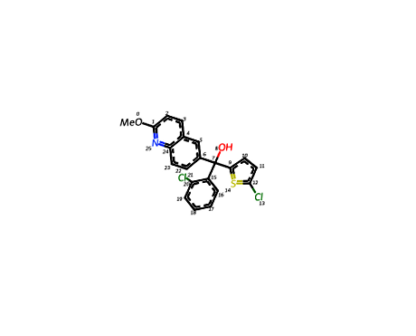 COc1ccc2cc(C(O)(c3ccc(Cl)s3)c3ccccc3Cl)ccc2n1